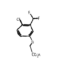 O=C(O)COc1ccc(Cl)c(C(F)F)c1